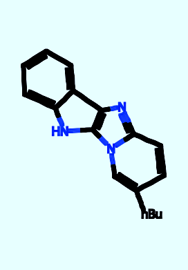 CCCCc1ccc2nc3c4ccccc4[nH]c3n2c1